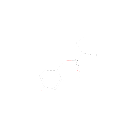 CCC(C)C(=O)Oc1ccc(O)cc1